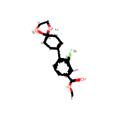 COC(=O)c1ccc(C2=CCC3(CC2)OCCO3)c(F)c1